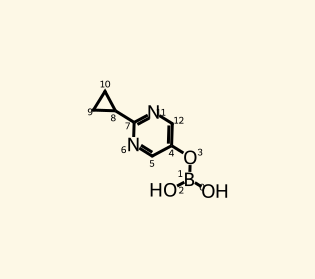 OB(O)Oc1cnc(C2CC2)nc1